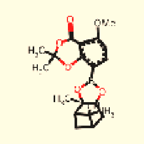 COc1ccc(B2OC3CC4CC(C4(C)C)[C@]3(C)O2)c2c1C(=O)OC(C)(C)O2